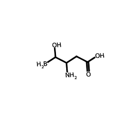 BC(O)C(N)CC(=O)O